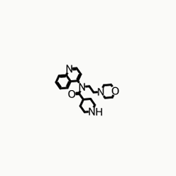 O=C(C1CCNCC1)N(CCN1CCOCC1)c1ccnc2ccccc12